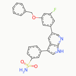 NS(=O)(=O)c1cccc(-c2c[nH]c3ncc(-c4cc(F)cc(OCc5ccccc5)c4)cc23)c1